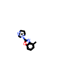 Cc1cccc2oc(N3CCN4CCC3CC4)nc12